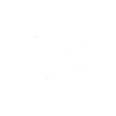 CCC#CC[C@@H](C)[C@H](O)/C=C/C1CC(F)(F)C(=O)N1CCCc1ccc(C(=O)O)s1